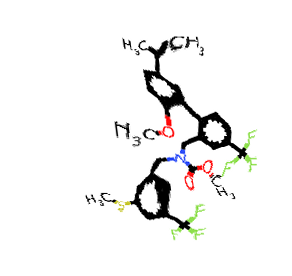 COC(=O)N(Cc1cc(SC)cc(C(F)(F)F)c1)Cc1cc(C(F)(F)F)ccc1-c1cc(C(C)C)ccc1OC